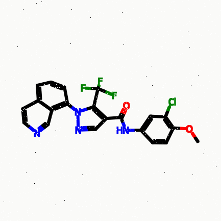 COc1ccc(NC(=O)c2cnn(-c3cccc4ccncc34)c2C(F)(F)F)cc1Cl